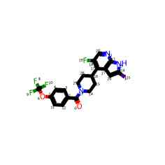 O=C(c1ccc(OC(F)(F)F)cc1)N1CCC(c2c(F)cnc3[nH]c(I)cc23)CC1